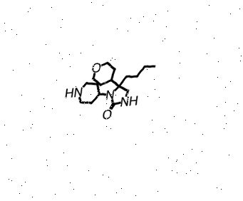 CCCCC1(C2CCOCC2)CNC(=O)N1C1CCNCC1